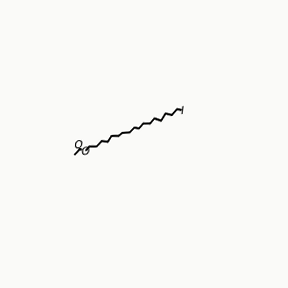 CC(=O)OCCCCCCCCCCCCCCCCCI